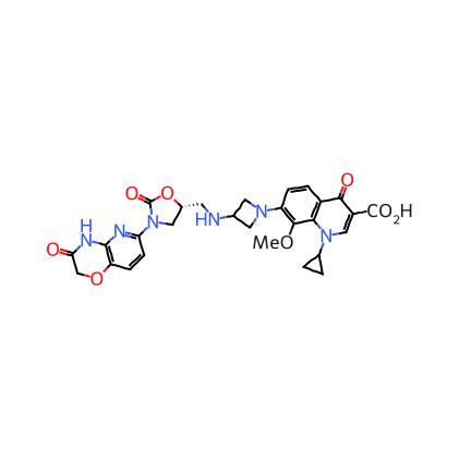 COc1c(N2CC(NC[C@@H]3CN(c4ccc5c(n4)NC(=O)CO5)C(=O)O3)C2)ccc2c(=O)c(C(=O)O)cn(C3CC3)c12